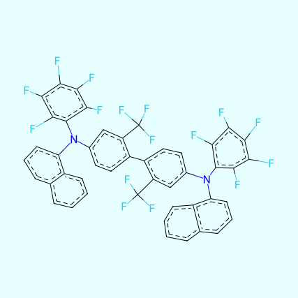 Fc1c(F)c(F)c(N(c2ccc(-c3ccc(N(c4c(F)c(F)c(F)c(F)c4F)c4cccc5ccccc45)cc3C(F)(F)F)c(C(F)(F)F)c2)c2cccc3ccccc23)c(F)c1F